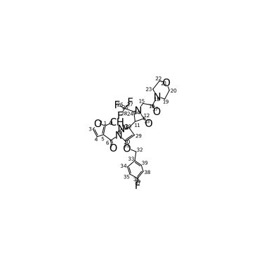 Cc1occc1C(=O)n1nc(C2C(=O)N(CC(=O)N3CCOCC3)C2C(F)(F)F)cc1OCc1ccc(F)cc1